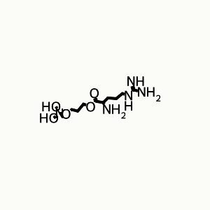 N=C(N)NCCCC(N)C(=O)OCCCON(O)O